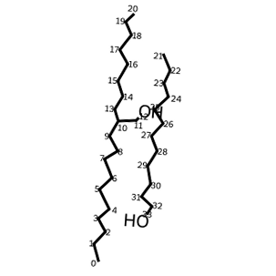 CCCCCCCCCCC(CO)CCCCCCCC.CCCCCCCCCCCCO